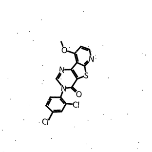 COc1ccnc2sc3c(=O)n(-c4ccc(Cl)cc4Cl)cnc3c12